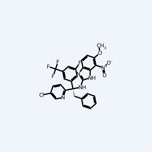 COc1ccc2nc(N[C@](Cc3ccccc3)(c3cc(F)cc(C(F)(F)F)c3)c3ccc(Cl)cn3)[nH]c2c1[N+](=O)[O-]